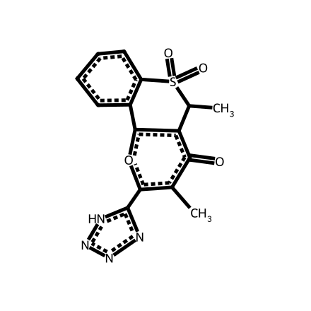 Cc1c(-c2nnn[nH]2)oc2c(c1=O)C(C)S(=O)(=O)c1ccccc1-2